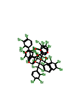 Brc1ccc(C(Br)(Br)c2cccc(C(c3ccccc3)(C(Br)(Br)c3ccc(Br)c(Br)c3Br)C(C(Br)(Br)c3ccc(Br)c(Br)c3Br)(C(Br)(Br)c3ccc(Br)c(Br)c3Br)C(Br)(Br)c3ccc(Br)c(Br)c3Br)c2C(Br)(Br)c2ccc(Br)c(Br)c2Br)c(Br)c1Br